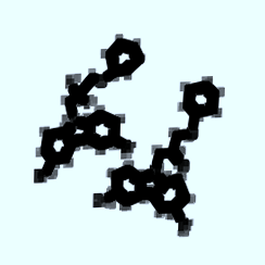 FC(F)(COc1ccccc1)Cn1c2ccc(Br)cc2c2cc(Br)ccc21.O=C(COc1ccccc1)Cn1c2ccc(Br)cc2c2cc(Br)ccc21